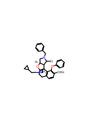 CCC1C2[C@H](CN1Cc1ccccc1)OC1(C)C3Cc4ccc(OC)c(Oc5ccccc5)c4C21CCN3CC1CC1